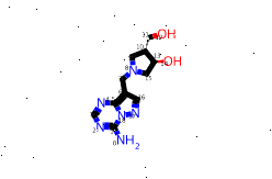 Nc1ncnc2c(CN3C[C@H](CO)[C@@H](O)C3)cnn12